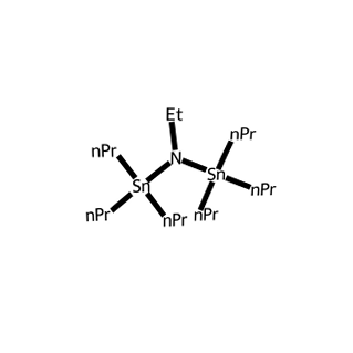 CC[CH2][Sn]([CH2]CC)([CH2]CC)[N](CC)[Sn]([CH2]CC)([CH2]CC)[CH2]CC